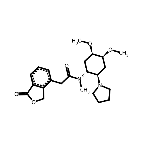 CO[C@H]1C[C@@H](N2CCCC2)[C@H](N(C)C(=O)Cc2cccc3c2COC3=O)C[C@H]1OC